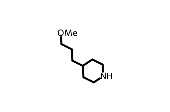 COCCCC1CCNCC1